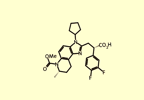 COC(=O)N1c2ccc3c(nc(C[C@H](C(=O)O)c4ccc(F)c(F)c4)n3C3CCCC3)c2CC[C@@H]1C